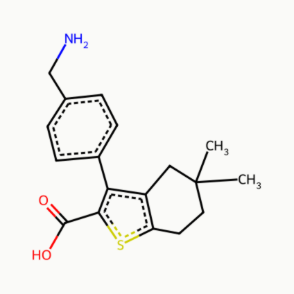 CC1(C)CCc2sc(C(=O)O)c(-c3ccc(CN)cc3)c2C1